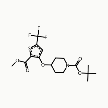 COC(=O)c1sc(C(F)(F)F)cc1OC1CCN(C(=O)OC(C)(C)C)CC1